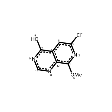 COc1nc(Cl)cc2c(O)ncnc12